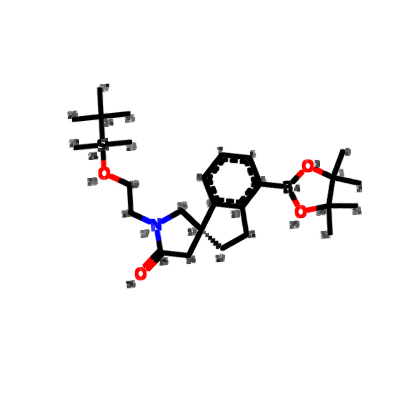 CC1(C)OB(c2cccc3c2CC[C@@]32CC(=O)N(CCO[Si](C)(C)C(C)(C)C)C2)OC1(C)C